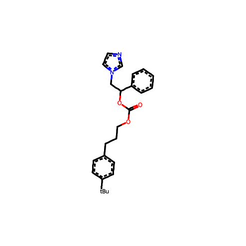 CC(C)(C)c1ccc(CCCOC(=O)OC(Cn2ccnc2)c2ccccc2)cc1